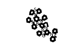 c1ccc(N2c3ccccc3B3c4cc5c6c(c4N(c4ccccc4)c4cc(N7c8ccccc8Sc8ccccc87)cc2c43)CCCN6c2cc(N3c4ccccc4Sc4ccccc43)cc3c2B5c2ccccc2O3)cc1